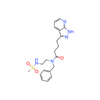 CS(=O)(=O)NCCN(Cc1ccccc1)C(=O)CCCc1n[nH]c2ncccc12